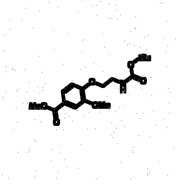 COC(=O)c1ccc(OCCNC(=O)OC(C)(C)C)c(OC)c1